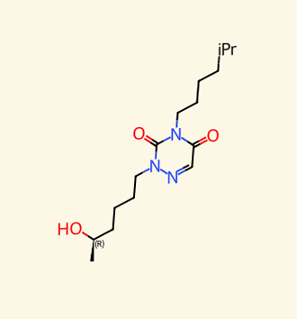 CC(C)CCCCn1c(=O)cnn(CCCC[C@@H](C)O)c1=O